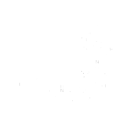 O=C(NCc1ccc(F)cc1F)c1cn2c(c(O)c1=O)C(=O)N1C[C@@H]3CCCC[C@@H]3OC1C2